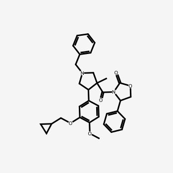 COc1ccc(C2CN(Cc3ccccc3)CC2(C)C(=O)N2C(=O)OCC2c2ccccc2)cc1OCC1CC1